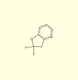 FC1(F)Cc2ncccc2O1